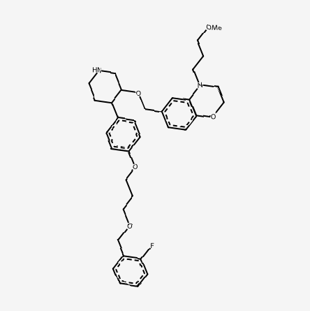 COCCCN1CCOc2ccc(COC3CNCCC3c3ccc(OCCCOCc4ccccc4F)cc3)cc21